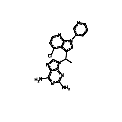 CC(c1cn(-c2cccnc2)c2nccc(Cl)c12)n1cnc2c(N)nc(N)nc21